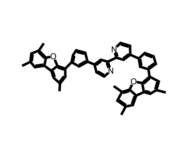 Cc1cc(C)c2oc3c(-c4cccc(-c5ccnc(-c6cc(-c7cccc(-c8cc(C)cc9c8oc8c(C)cc(C)cc89)c7)ccn6)c5)c4)cc(C)cc3c2c1